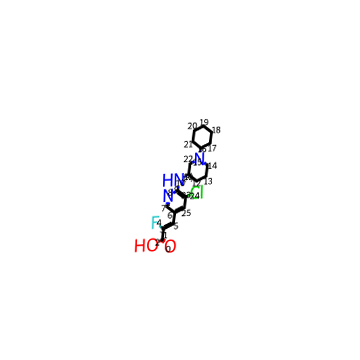 O=C(O)C(F)=Cc1cnc(N[C@@H]2CCCN(C3CCCCC3)C2)c(Cl)c1